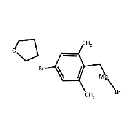 C1CCOC1.Cc1cc(Br)cc(C)c1[CH2][Mg][Br]